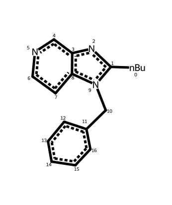 CCCCc1nc2cnccc2n1Cc1ccccc1